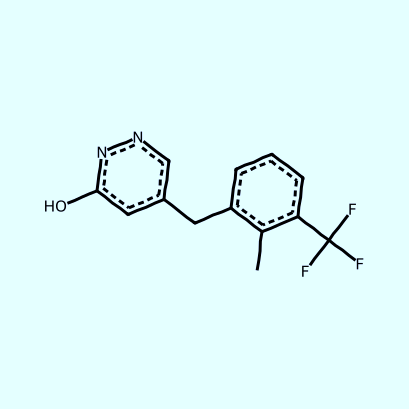 Cc1c(Cc2cnnc(O)c2)cccc1C(F)(F)F